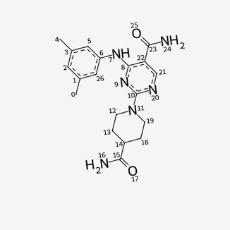 Cc1cc(C)cc(Nc2nc(N3CCC(C(N)=O)CC3)ncc2C(N)=O)c1